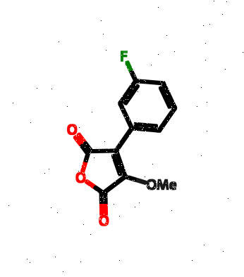 COC1=C(c2cccc(F)c2)C(=O)OC1=O